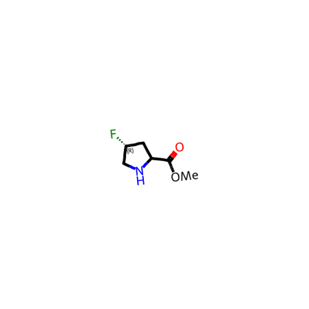 COC(=O)C1C[C@@H](F)CN1